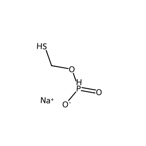 O=[PH]([O-])OCS.[Na+]